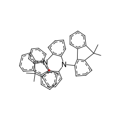 CC1(C)c2ccccc2-c2c(N(c3ccccc3-n3c4ccccc4c4ccccc43)c3cccc4c3-c3ccccc3C4(C)C)cccc21